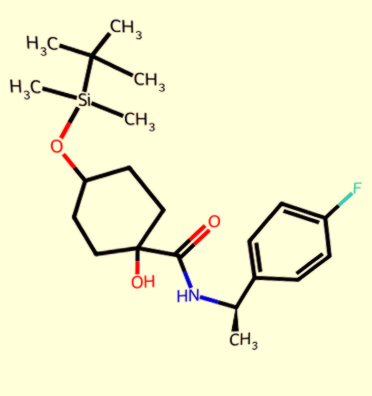 C[C@@H](NC(=O)C1(O)CCC(O[Si](C)(C)C(C)(C)C)CC1)c1ccc(F)cc1